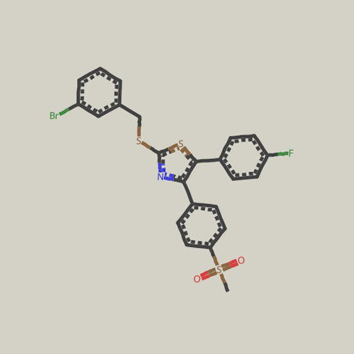 CS(=O)(=O)c1ccc(-c2nc(SCc3cccc(Br)c3)sc2-c2ccc(F)cc2)cc1